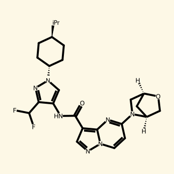 CC(C)[C@H]1CC[C@H](n2cc(NC(=O)c3cnn4ccc(N5C[C@@H]6C[C@H]5CO6)nc34)c(C(F)F)n2)CC1